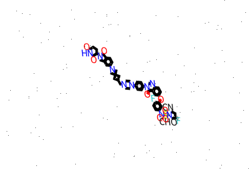 N#Cc1c(N(OC=O)S(=O)(=O)N2CC[C@@H](F)C2)ccc(F)c1Oc1ccc2ncn(-c3ccc(N4CCN(CC5CC6(C5)CN(c5ccc7c(c5)CN([C@H]5CCC(=O)NC5=O)C7=O)C6)CC4)cc3)c(=O)c2c1